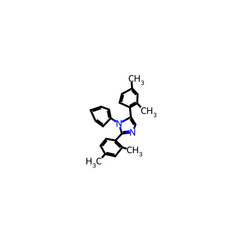 Cc1ccc(-c2cnc(-c3ccc(C)cc3C)n2-c2ccccc2)c(C)c1